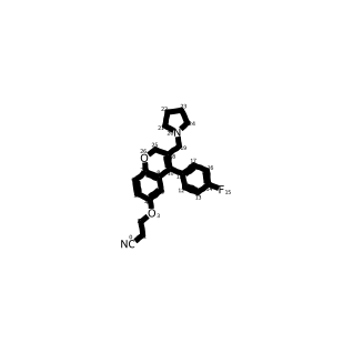 N#CCCOc1ccc2c(c1)C(c1ccc(F)cc1)=C(CN1CCCC1)CO2